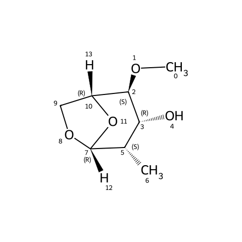 CO[C@H]1[C@H](O)[C@H](C)[C@@H]2OC[C@H]1O2